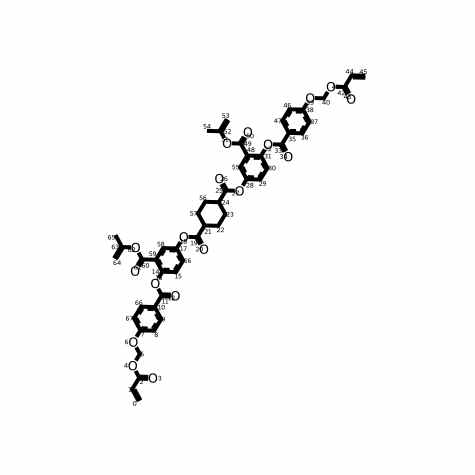 C=CC(=O)OCOc1ccc(C(=O)Oc2ccc(OC(=O)C3CCC(C(=O)Oc4ccc(OC(=O)c5ccc(OCOC(=O)C=C)cc5)c(C(=O)OC(=C)C)c4)CC3)cc2C(=O)OC(=C)C)cc1